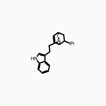 CC(C)C1CC2C=CC1N(CCc1c[nH]c3ccccc13)C2